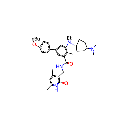 CCCCOc1ccc(-c2cc(C(=O)NCc3c(C)cc(C)[nH]c3=O)c(C)c(N(CC)[C@H]3CC[C@H](N(C)C)CC3)c2)cc1